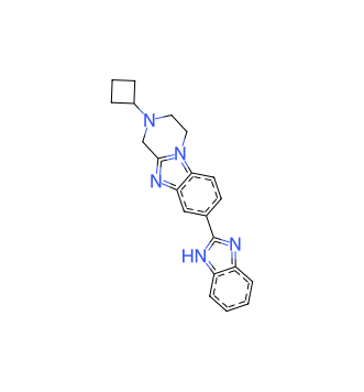 c1ccc2[nH]c(-c3ccc4c(c3)nc3n4CCN(C4CCC4)C3)nc2c1